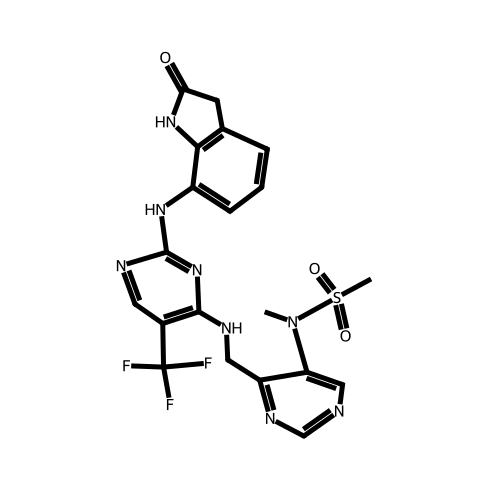 CN(c1cncnc1CNc1nc(Nc2cccc3c2NC(=O)C3)ncc1C(F)(F)F)S(C)(=O)=O